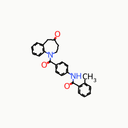 Cc1ccccc1C(=O)Nc1ccc(C(=O)N2CCC(=O)Cc3ccccc32)cc1